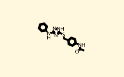 CC(=O)Nc1ccc(CSc2nc(Nc3ccccc3)n[nH]2)cc1